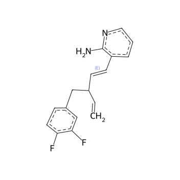 C=CC(/C=C/c1cccnc1N)Cc1ccc(F)c(F)c1